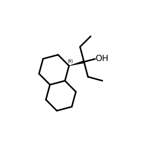 CCC(O)(CC)[C@@H]1CCCC2CCCCC21